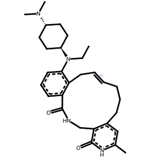 CCN(c1cccc2c1C/C=C/CCCc1cc(C)[nH]c(=O)c1CNC2=O)[C@H]1CC[C@H](N(C)C)CC1